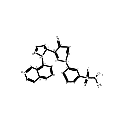 CN(C)S(=O)(=O)c1cccc(-n2ccc(=O)c(-c3ccnn3-c3cccc4ccncc34)n2)c1